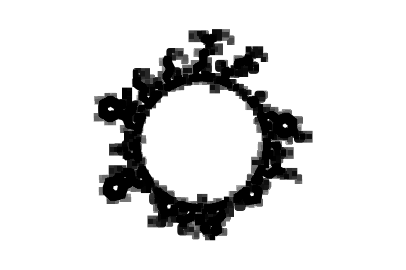 CCCC[C@H]1C(=O)N(C)[C@@H](CCCC)C(=O)N[C@@H](CCCNC(=N)N)C(=O)NC(C(=O)NCC(N)=O)CSCC(=O)N[C@@H](Cc2ccc(O)cc2)C(=O)N(C)[C@@H](CO)C(=O)N[C@@H](CC(N)=O)C(=O)N2CCC[C@H]2C(=O)N[C@@H](Cc2cnc[nH]2)C(=O)N[C@@H](CC(C)C)C(=O)N2C[C@H](O)C[C@H]2C(=O)N[C@@H](Cc2c[nH]c3ccccc23)C(=O)N[C@@H](CO)C(=O)N[C@@H](Cc2c[nH]c3ccccc23)C(=O)N1C